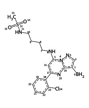 Bc1cnn2c(NCCCCNS(C)(=O)=O)cc(-c3ccccc3Cl)nc12